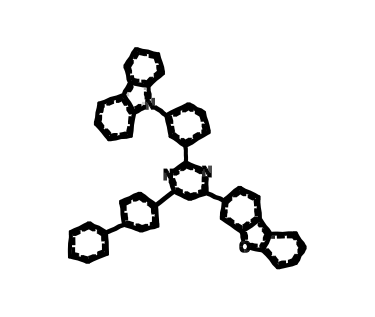 c1ccc(-c2ccc(-c3cc(-c4ccc5c(c4)oc4ccccc45)nc(-c4cccc(-n5c6ccccc6c6ccccc65)c4)n3)cc2)cc1